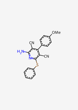 COc1ccc(-c2c(C#N)c(N)nc(Sc3ccccc3)c2C#N)cc1